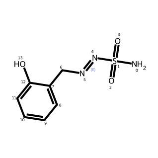 NS(=O)(=O)/N=N/Cc1ccccc1O